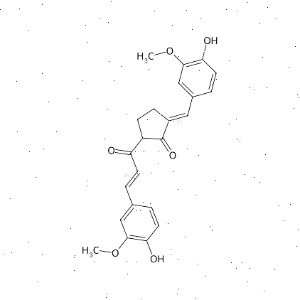 COc1cc(/C=C/C(=O)C2CC/C(=C\c3ccc(O)c(OC)c3)C2=O)ccc1O